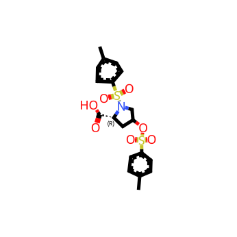 Cc1ccc(S(=O)(=O)OC2C[C@H](C(=O)O)N(S(=O)(=O)c3ccc(C)cc3)C2)cc1